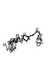 C[C@@](C[C@H]1CN(c2ccc(C#CC3CC3CN3CCOCC3)cc2)C(=O)O1)(C(=O)NO)S(C)(=O)=O